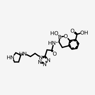 O=C(Cc1nnnn1CCN[C@H]1CCNC1)N[C@H]1Cc2cccc(C(=O)O)c2OB1O